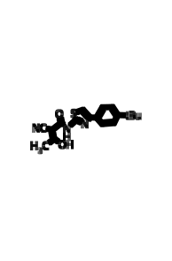 CC(O)=C(C#N)C(=O)Nc1nc(-c2ccc(C(C)(C)C)cc2)cs1